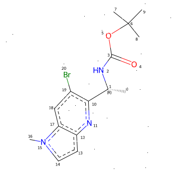 C[C@@H](NC(=O)OC(C)(C)C)c1nc2ccn(C)c2cc1Br